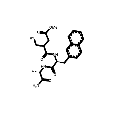 COC(=O)CC(CC(C)C)C(=O)N[C@@H](Cc1ccc2ccccc2c1)C(=O)N[C@@H](C)C(N)=O